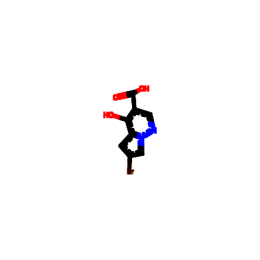 O=C(O)c1cnn2cc(Br)cc2c1O